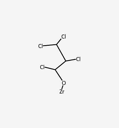 ClC(Cl)C(Cl)C(Cl)[O][Zr]